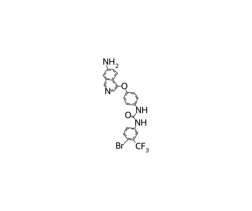 Nc1ccc2c(Oc3ccc(NC(=O)Nc4ccc(Br)c(C(F)(F)F)c4)cc3)cncc2c1